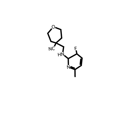 CC1=NC(NCC2(C#N)CCOCC2)C(F)C=C1